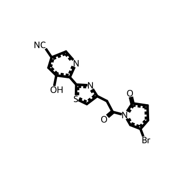 N#Cc1cnc(-c2nc(CC(=O)n3cc(Br)ccc3=O)cs2)c(O)c1